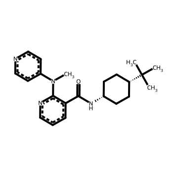 CN(c1ccncc1)c1ncccc1C(=O)N[C@H]1CC[C@@H](C(C)(C)C)CC1